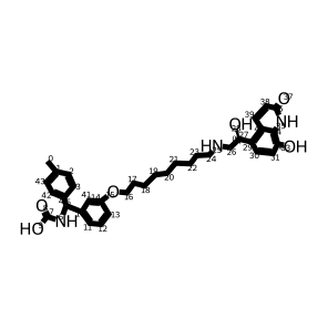 Cc1ccc(C(NC(=O)O)c2cccc(OCCCCCCCCCNC[C@@H](O)c3ccc(O)c4[nH]c(=O)ccc34)c2)cc1